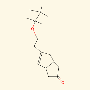 CC(C)(C)[Si](C)(C)OCCC1=CC2CC(=O)CC2C1